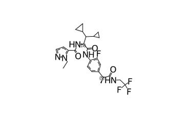 CCn1nccc1C(=O)N[C@H](C(=O)Nc1ccc([C@H](C)C(=O)NCC(F)(F)F)cc1F)C(C1CC1)C1CC1